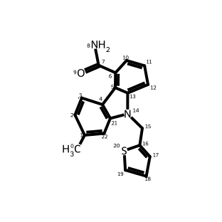 Cc1c[c]c2c3c(C(N)=O)cccc3n(Cc3cccs3)c2c1